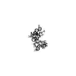 COC(=O)[C@@H]1[C@@H](C)CCN1C(=O)c1nc(-c2ccc(OC)c3nc(C(F)(F)F)ccc23)oc1[C@H](C)N